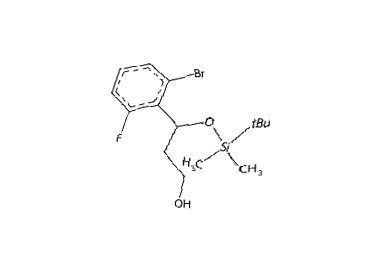 CC(C)(C)[Si](C)(C)OC(CCO)c1c(F)cccc1Br